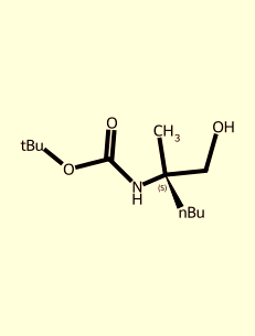 CCCC[C@@](C)(CO)NC(=O)OC(C)(C)C